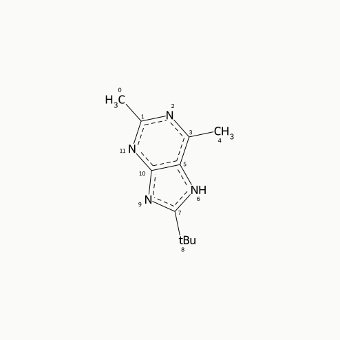 Cc1nc(C)c2[nH]c(C(C)(C)C)nc2n1